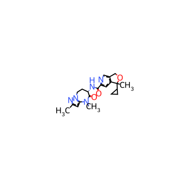 Cc1cc2n(n1)CC[C@H](NC(=O)c1cc3c(cn1)COC3(C)C1CC1)C(=O)N2C